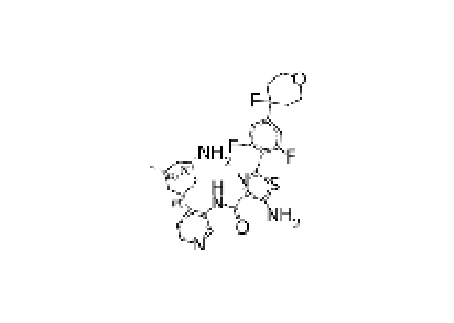 C[C@@H]1C[C@H](N)C[C@H](c2ccncc2NC(=O)c2nc(-c3c(F)cc(C4(F)CCOCC4)cc3F)sc2N)C1